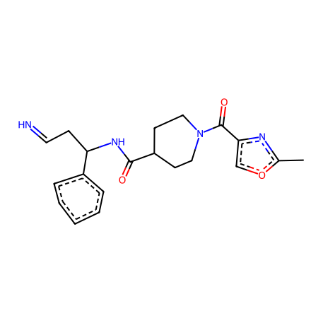 Cc1nc(C(=O)N2CCC(C(=O)NC(CC=N)c3ccccc3)CC2)co1